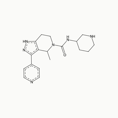 CC1c2c(-c3ccncc3)n[nH]c2CCN1C(=O)NC1CCCNC1